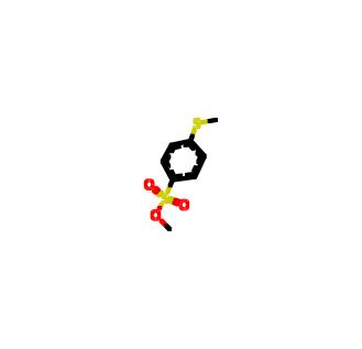 COS(=O)(=O)c1ccc(SC)cc1